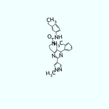 CCc1cccc(NC(=O)N2CCc3nc(-c4cnn(C)c4)nc(-c4ccccc4C)c3C2)c1